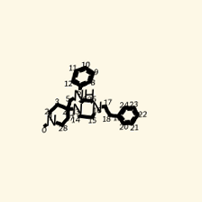 CN1CCC(CNc2ccccc2)(N2CCN(CCc3ccccc3)CC2)CC1